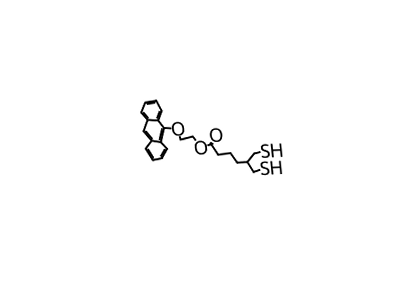 O=C(CCCC(CS)CS)OCCOc1c2ccccc2cc2ccccc12